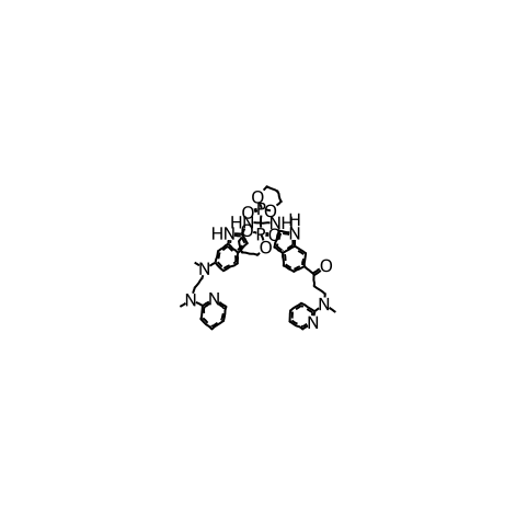 CN(CCN(C)c1ccccn1)c1ccc2cc(NC(Nc3cc4ccc(C(=O)CCN(C)c5ccccn5)cc4[nH]3)(P3(=O)OCCCO3)P3(=O)OCCCO3)[nH]c2c1